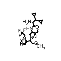 COCC(c1cnnn1CC(F)(F)F)n1cc(NC(=O)[C@@H](N)C(C2CC2)C2CC2)c(F)n1